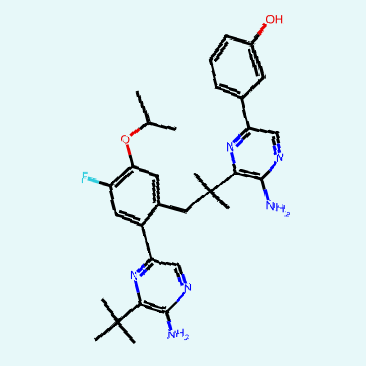 CC(C)Oc1cc(CC(C)(C)c2nc(-c3cccc(O)c3)cnc2N)c(-c2cnc(N)c(C(C)(C)C)n2)cc1F